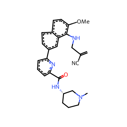 C=C(C#N)CNc1c(OC)ccc2ccc(-c3cccc(C(=O)N[C@H]4CCCN(C)C4)n3)cc12